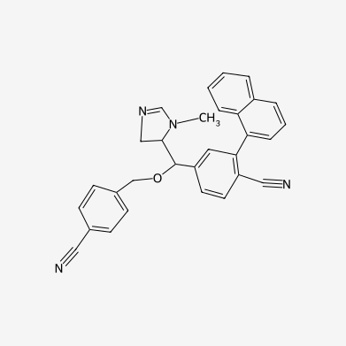 CN1C=NCC1C(OCc1ccc(C#N)cc1)c1ccc(C#N)c(-c2cccc3ccccc23)c1